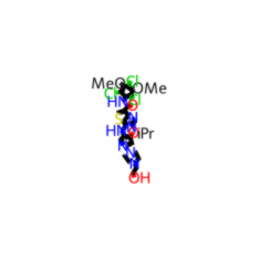 COc1c(Cl)c(NC(=O)c2csc3c(Nc4cnc(N5CCN(CCO)CC5)cc4OC(C)C)ncnc23)c(Cl)c(OC)c1Cl